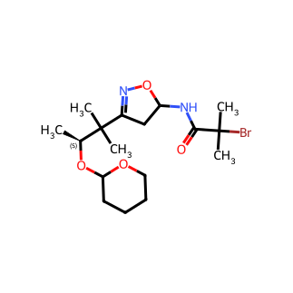 C[C@H](OC1CCCCO1)C(C)(C)C1=NOC(NC(=O)C(C)(C)Br)C1